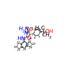 CC(C)(O)c1ccc(C[S@@](N)(=O)=NC(=O)Nc2c3c(cc4c2CCC4)CCC3)cc1